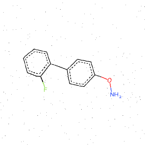 NOc1ccc(-c2ccccc2F)cc1